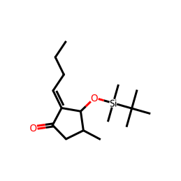 CCCC=C1C(=O)CC(C)C1O[Si](C)(C)C(C)(C)C